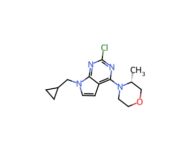 C[C@@H]1COCCN1c1nc(Cl)nc2c1ccn2CC1CC1